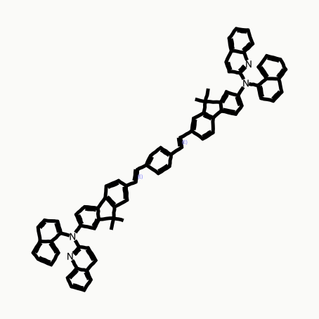 CC1(C)c2cc(/C=C/c3ccc(/C=C/c4ccc5c(c4)C(C)(C)c4cc(N(c6ccc7ccccc7n6)c6cccc7ccccc67)ccc4-5)cc3)ccc2-c2ccc(N(c3ccc4ccccc4n3)c3cccc4ccccc34)cc21